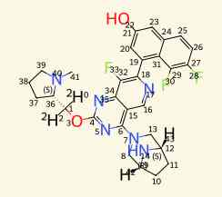 [2H]C([2H])(Oc1nc(N2C[C@H]3CC[C@@H](C2)N3)c2cnc(-c3cc(O)cc4ccc(F)c(F)c34)c(F)c2n1)[C@@H]1CCCN1C